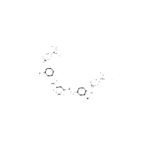 C=C(N)N1CC[C@@H](Oc2ccc(NC(=O)c3cc(C(=O)Nc4ccc(O[C@@H]5CCN(C(=N)N)C5)c(C(F)(F)F)c4)ncn3)cc2C(F)(F)F)C1